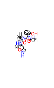 CC1(C)[C@@H]2[C@@H](C(=O)N[C@H](C#N)CC3CCNC3=O)N(C(=O)C(NC(=O)C(F)(F)F)C34CC5CC(CC(O)(C5)C3)C4)C[C@@H]21